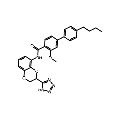 CCCCc1ccc(-c2ccc(C(=O)Nc3cccc4c3OC(c3nnn[nH]3)CO4)c(OC)c2)cc1